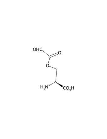 N[C@@H](COC(=O)C=O)C(=O)O